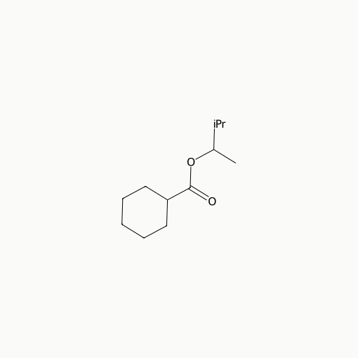 CC(C)C(C)OC(=O)C1CCCCC1